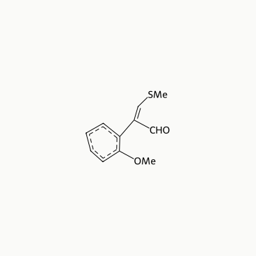 COc1ccccc1/C(C=O)=C/SC